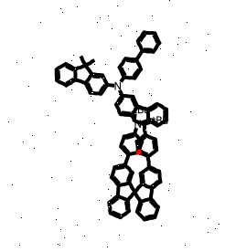 CC(C)(C)CC(c1ccc(-c2ccc3c(c2)C2(c4ccccc4-3)c3ccccc3-c3ccc(-c4ccc(-n5c6ccccc6c6cc(N(c7ccc(-c8ccccc8)cc7)c7ccc8c(c7)C(C)(C)c7ccccc7-8)ccc65)cc4)cc32)cc1)C(C)(C)C